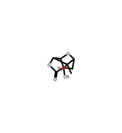 CC1(N)C2CC3(C#N)C(=O)OC1C3O2